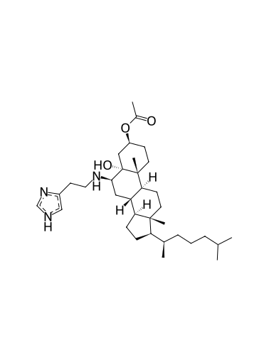 CC(=O)O[C@H]1CC[C@]2(C)[C@H]3CC[C@]4(C)[C@@H]([C@H](C)CCCC(C)C)CC[C@H]4[C@@H]3C[C@@H](NCCc3c[nH]cn3)[C@@]2(O)C1